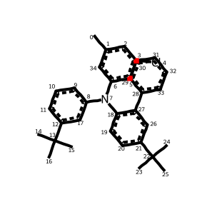 Cc1cc(Cl)cc(N(c2cccc(C(C)(C)C)c2)c2ccc(C(C)(C)C)cc2-c2ccccc2)c1